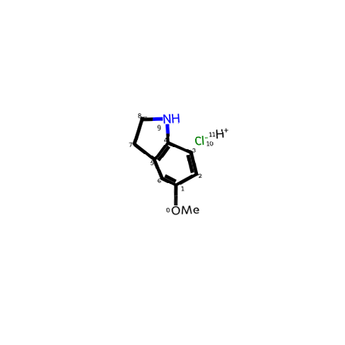 COc1ccc2c(c1)CCN2.[Cl-].[H+]